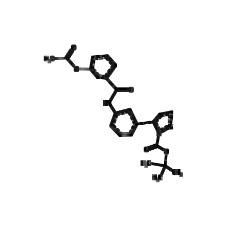 CC(=O)Oc1cccc(C(=O)Nc2cccc(-c3ccnn3C(=O)OC(C)(C)C)c2)c1